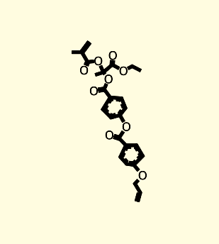 C=CCOc1ccc(C(=O)Oc2ccc(C(=O)OC(C)(OC(=O)C(=C)C)C(=O)OCC)cc2)cc1